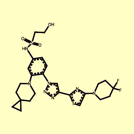 O=S(=O)(CCO)Nc1ccc(-n2cc(-c3nc(N4CCC(F)(F)CC4)cs3)nn2)c(N2CCC3(CC2)CC3)c1